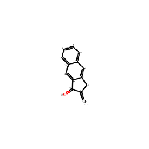 C=C1Cc2cc3ccccc3cc2C1=O